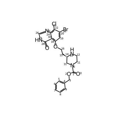 O=C(OCc1ccccc1)N1CCN[C@H](CCOc2cc(Br)c(Cl)c3nc[nH]c(=O)c23)C1